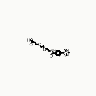 O=C(O)CCOCCOCCNC(=O)c1ccc(-c2nncnn2)cc1